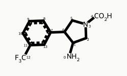 NC1CN(C(=O)O)CC1c1cccc(C(F)(F)F)c1